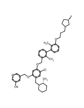 Cc1c(COc2cc(OCc3cncc(C#N)c3)c(CN3CCCC[C@H]3C)cc2Cl)cccc1-c1cccc(OCCCN2CC[C@@H](F)C2)c1C